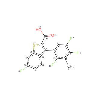 Cc1c(F)c(F)cc(-c2c(C(=O)O)sc3cc(F)ccc23)c1F